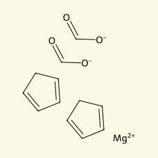 C1=CCC=C1.C1=CCC=C1.O=C[O-].O=C[O-].[Mg+2]